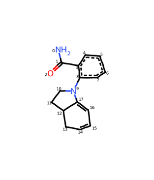 NC(=O)c1ccccc1N1CCC2CC=CC=C21